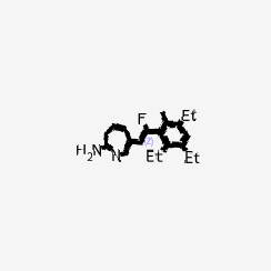 CCc1cc(CC)c(CC)c(/C(F)=C/C2=CN=C(N)CC=C2)c1C